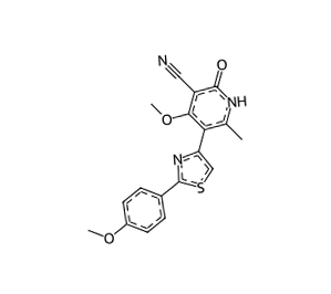 COc1ccc(-c2nc(-c3c(C)[nH]c(=O)c(C#N)c3OC)cs2)cc1